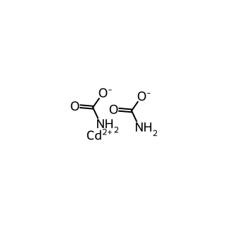 NC(=O)[O-].NC(=O)[O-].[Cd+2]